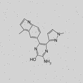 Cc1ccnc2ccc(-c3nc(O)c(N)nc3-c3ccn(C)n3)cc12